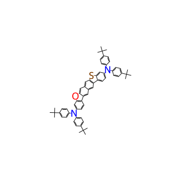 CC(C)(C)c1ccc(N(c2ccc(C(C)(C)C)cc2)c2ccc3c(c2)oc2cc4cc5sc6cc(N(c7ccc(C(C)(C)C)cc7)c7ccc(C(C)(C)C)cc7)ccc6c5cc4cc23)cc1